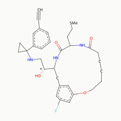 C#Cc1cccc(C2(NC[C@@H](O)C3Cc4cc(F)cc(c4)OCCCCCC(=O)NC(CCSC)C(=O)N3)CC2)c1